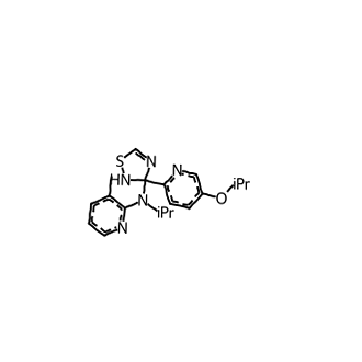 Cc1cccnc1N(C(C)C)C1(c2ccc(OC(C)C)cn2)N=CSN1